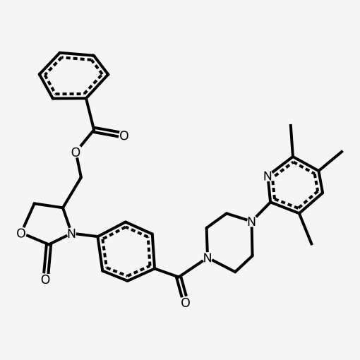 Cc1cc(C)c(N2CCN(C(=O)c3ccc(N4C(=O)OCC4COC(=O)c4ccccc4)cc3)CC2)nc1C